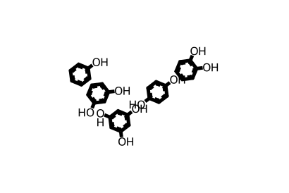 Oc1cc(O)cc(O)c1.Oc1ccc(O)cc1.Oc1cccc(O)c1.Oc1ccccc1.Oc1ccccc1O